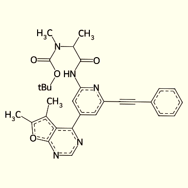 Cc1oc2ncnc(-c3cc(C#Cc4ccccc4)nc(NC(=O)C(C)N(C)C(=O)OC(C)(C)C)c3)c2c1C